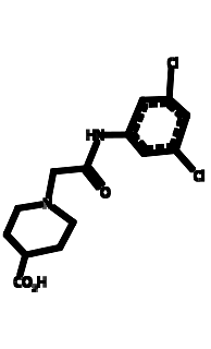 O=C(CN1CCC(C(=O)O)CC1)Nc1cc(Cl)cc(Cl)c1